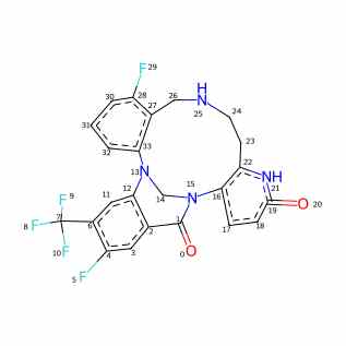 O=C1c2cc(F)c(C(F)(F)F)cc2N2CN1c1ccc(=O)[nH]c1CCNCc1c(F)cccc12